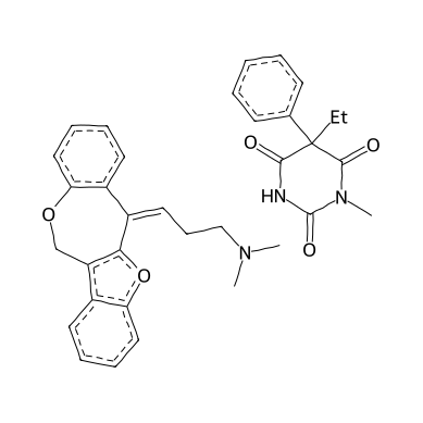 CCC1(c2ccccc2)C(=O)NC(=O)N(C)C1=O.CN(C)CCC=C1c2ccccc2OCc2c1oc1ccccc21